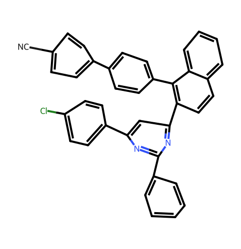 N#Cc1ccc(-c2ccc(-c3c(-c4cc(-c5ccc(Cl)cc5)nc(-c5ccccc5)n4)ccc4ccccc34)cc2)cc1